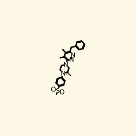 Cc1c(Cc2ccccc2)nnc(N2CCN(c3ccc(S(C)(=O)=O)cc3)[C@H](C)C2)c1C